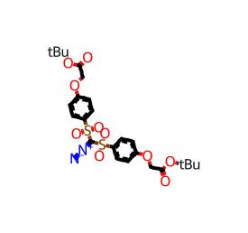 CC(C)(C)OC(=O)COc1ccc(S(=O)(=O)C(=[N+]=[N-])S(=O)(=O)c2ccc(OCC(=O)OC(C)(C)C)cc2)cc1